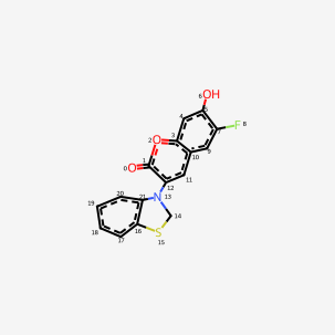 O=c1oc2cc(O)c(F)cc2cc1N1CSc2ccccc21